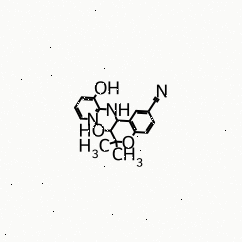 CC1(C)Oc2ccc(C#N)cc2C(Nc2ncccc2O)C1O